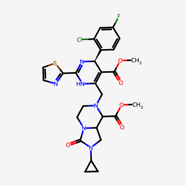 COC(=O)C1=C(CN2CCN3C(=O)N(C4CC4)CC3C2C(=O)OC)NC(c2nccs2)=N[C@H]1c1ccc(F)cc1Cl